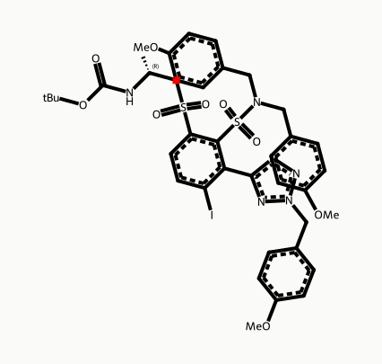 COc1ccc(CN(Cc2ccc(OC)cc2)S(=O)(=O)c2c(S(=O)(=O)C[C@@H](C)NC(=O)OC(C)(C)C)ccc(I)c2-c2nnn(Cc3ccc(OC)cc3)n2)cc1